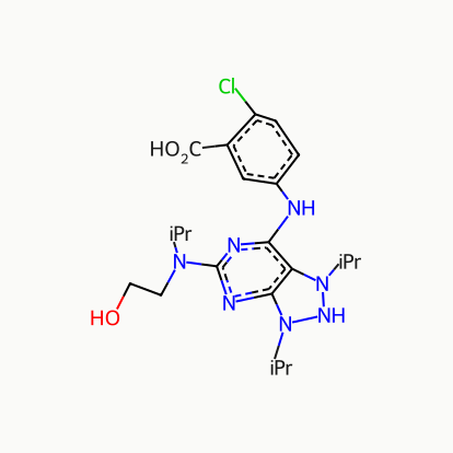 CC(C)N(CCO)c1nc(Nc2ccc(Cl)c(C(=O)O)c2)c2c(n1)N(C(C)C)NN2C(C)C